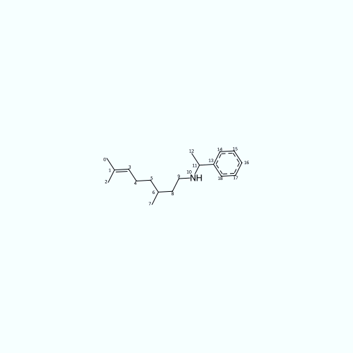 CC(C)=CCCC(C)CCNC(C)c1ccccc1